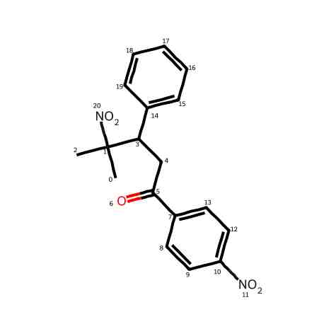 CC(C)(C(CC(=O)c1ccc([N+](=O)[O-])cc1)c1ccccc1)[N+](=O)[O-]